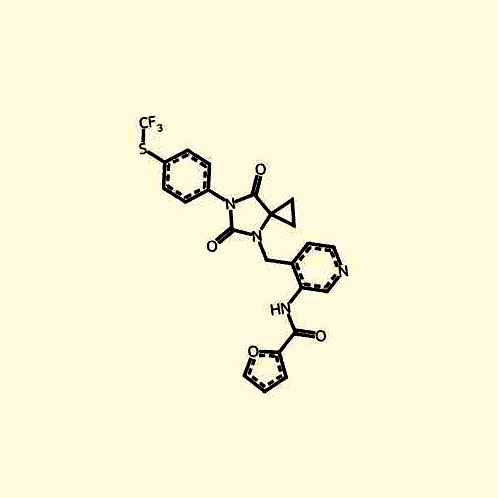 O=C(Nc1cnccc1CN1C(=O)N(c2ccc(SC(F)(F)F)cc2)C(=O)C12CC2)c1ccco1